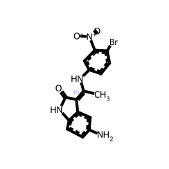 C/C(Nc1ccc(Br)c([N+](=O)[O-])c1)=C1/C(=O)Nc2ccc(N)cc21